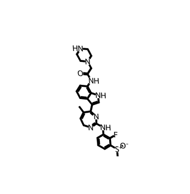 CC1=CCN=C(Nc2cccc([S+](C)[O-])c2F)N=C1c1c[nH]c2c(NC(=O)CN3CCNCC3)cccc12